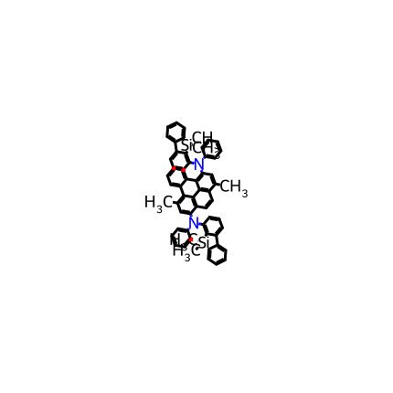 Cc1cc(N(c2ccccc2)c2cccc3c2[Si](C)(C)c2ccccc2-3)c2c3ccccc3c3c(C)cc(N(c4ccccc4)c4cccc5c4[Si](C)(C)c4ccccc4-5)c4ccc1c2c43